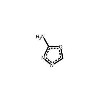 Nc1nnco1